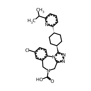 CC(C)c1cccc([C@H]2CC[C@H](c3nnc4n3-c3ccc(Cl)cc3CN(C(=O)O)C4)CC2)n1